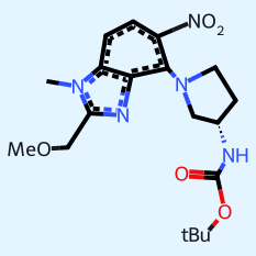 COCc1nc2c(N3CC[C@H](NC(=O)OC(C)(C)C)C3)c([N+](=O)[O-])ccc2n1C